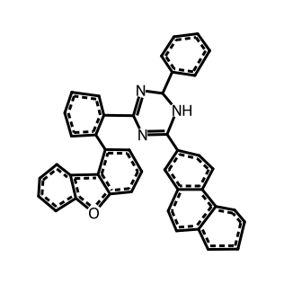 c1ccc(C2N=C(c3ccccc3-c3cccc4oc5ccccc5c34)N=C(c3ccc4c(ccc5ccccc54)c3)N2)cc1